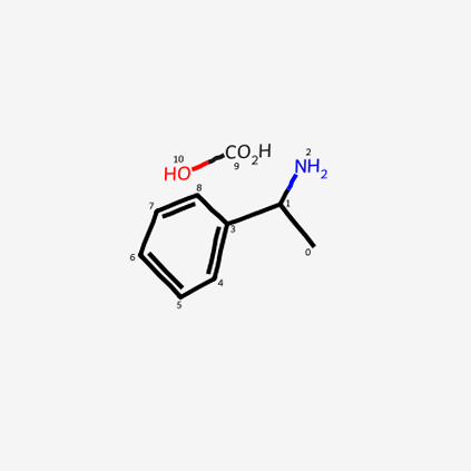 CC(N)c1ccccc1.O=C(O)O